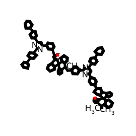 CC1(C)c2ccccc2C2(c3ccccc3-c3cc(-c4ccc(-c5cc(-c6ccc(-c7ccccc7)cc6)nc(-c6ccc(CC7(C)c8ccccc8C8(c9ccccc9-c9cc(-c%10cccc(-c%11cc(-c%12ccc(-c%13ccccc%13)cc%12)nc(-c%12ccc(-c%13ccccc%13)cc%12)n%11)c%10)ccc98)c8ccccc87)cc6)n5)cc4)ccc32)c2ccccc21